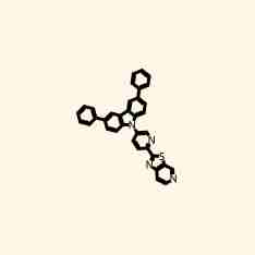 c1ccc(-c2ccc3c(c2)c2cc(-c4ccccc4)ccc2n3-c2ccc(-c3nc4ccncc4s3)nc2)cc1